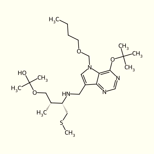 CCCCOCn1cc(CN[C@H](CSC)[C@H](C)COC(C)(C)O)c2ncnc(OC(C)(C)C)c21